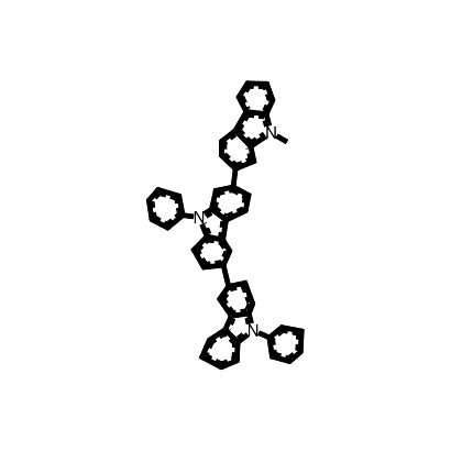 Cn1c2ccccc2c2ccc(-c3ccc4c5cc(-c6ccc7c(c6)c6ccccc6n7-c6ccccc6)ccc5n(-c5ccccc5)c4c3)cc21